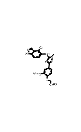 COc1cc(-c2nc(Nc3ccc4[nH]ncc4c3Cl)n(C)n2)ccc1OCC=O